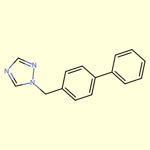 c1ccc(-c2ccc(Cn3cncn3)cc2)cc1